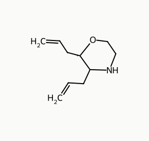 C=CC[C]1OCCNC1CC=C